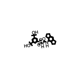 CC(C)(O)c1cc(C(C)(C)O)cc(S(=O)(=O)NC(=O)Nc2c3c(cc4c2CCC4)CCC3)c1